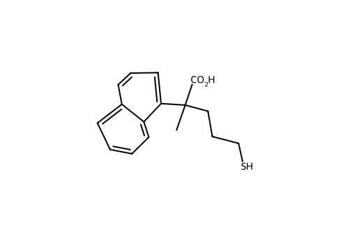 CC(CCCS)(C(=O)O)c1cccc2ccccc12